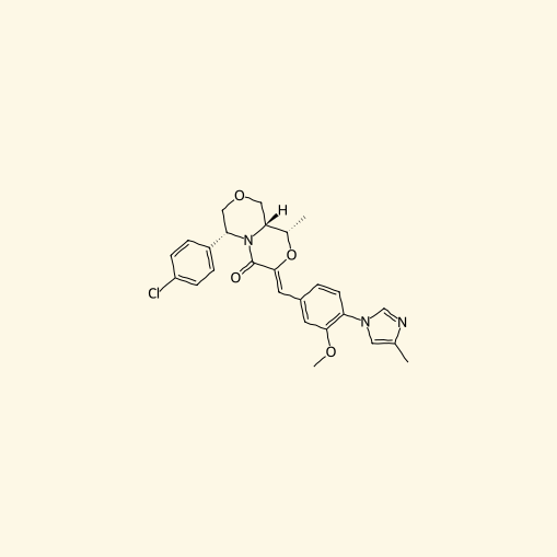 COc1cc(/C=C2\O[C@@H](C)[C@H]3COC[C@@H](c4ccc(Cl)cc4)N3C2=O)ccc1-n1cnc(C)c1